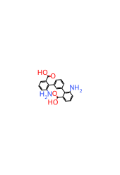 Nc1cccc(C(=O)O)c1-c1cccc(-c2c(N)cccc2C(=O)O)c1